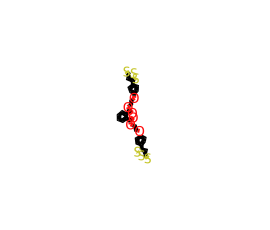 O=C(OCCOc1ccc(-c2cc(=S)ss2)cc1)c1ccccc1C(=O)OCCOc1ccc(-c2cc(=S)ss2)cc1